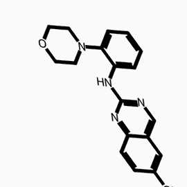 Oc1ccc2nc(Nc3ccccc3N3CCOCC3)ncc2c1